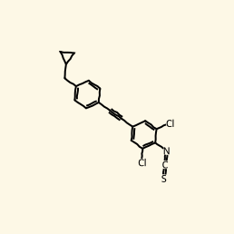 S=C=Nc1c(Cl)cc(C#Cc2ccc(CC3CC3)cc2)cc1Cl